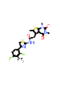 Cc1sc2c(c1CC(=O)Nc1nc(-c3ccc(F)c(C(F)(F)F)c3F)cs1)c(=O)n(C)c(=O)n2C